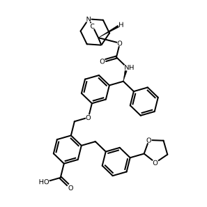 O=C(N[C@@H](c1ccccc1)c1cccc(OCc2ccc(C(=O)O)cc2Cc2cccc(C3OCCO3)c2)c1)O[C@H]1CN2CCC1CC2